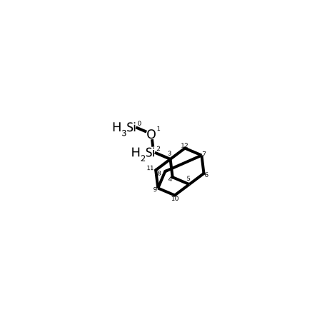 [SiH3]O[SiH2]C12CC3CC(CC(C3)C1)C2